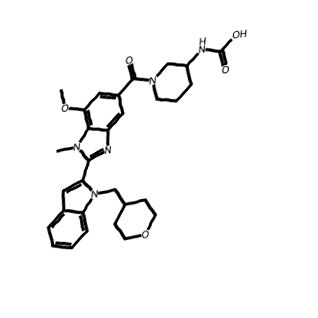 COc1cc(C(=O)N2CCCC(NC(=O)O)C2)cc2nc(-c3cc4ccccc4n3CC3CCOCC3)n(C)c12